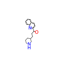 O=C(CCC1CCCNC1)c1ccc2ccccc2n1